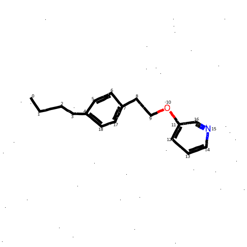 CCCCc1ccc(CCOc2cccnc2)cc1